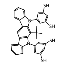 CC(C)(C)c1c2c(cc3c4ccccc4n(-c4cc(S)cc(S)c4)c13)c1ccccc1n2-c1cc(S)cc(S)c1